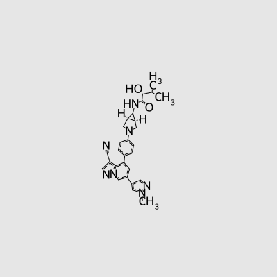 CC(C)C(O)C(=O)NC1[C@H]2CN(c3ccc(-c4cc(-c5cnn(C)c5)cn5ncc(C#N)c45)cc3)C[C@@H]12